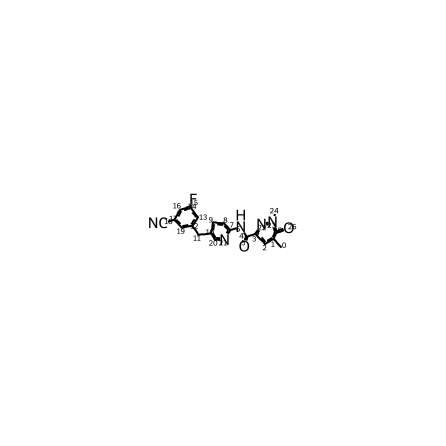 Cc1cc(C(=O)Nc2ccc(Cc3cc(F)cc(C#N)c3)cn2)nn(C)c1=O